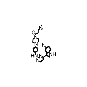 CN(C)CCC(=O)N1CCN(c2ccc(Nc3nccc(-c4c[nH]c5ccc(F)cc45)n3)cc2)CC1